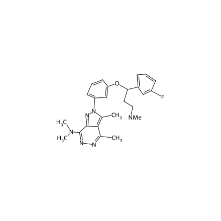 CNCCC(Oc1cccc(-n2nc3c(N(C)C)nnc(C)c3c2C)c1)c1cccc(F)c1